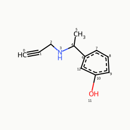 C#CCNC(C)c1cccc(O)c1